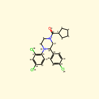 O=C(C1CCCC1)N1CCN(c2ccc(Cl)cc2Cl)C(c2ccc(Cl)cc2)C1